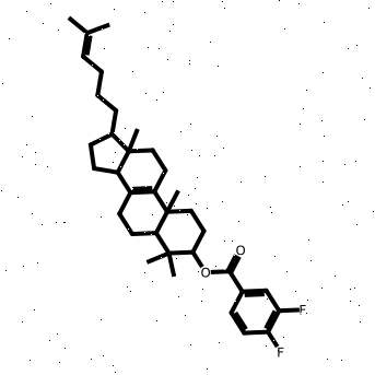 CC(C)=CCCCC1CCC2C3=C(CCC12C)C1(C)CCC(OC(=O)c2ccc(F)c(F)c2)C(C)(C)C1CC3